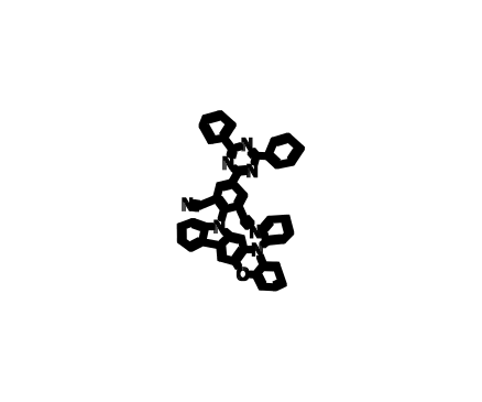 N#Cc1cc(-c2nc(-c3ccccc3)nc(-c3ccccc3)n2)cc(C#N)c1-n1c2ccccc2c2cc3c(cc21)N(c1ccccc1)c1ccccc1O3